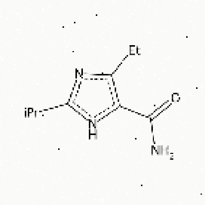 CCc1nc(C(C)C)[nH]c1C(N)=O